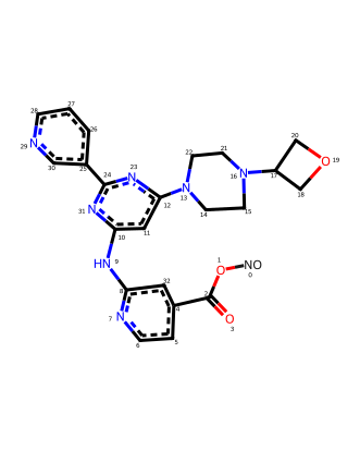 O=NOC(=O)c1ccnc(Nc2cc(N3CCN(C4COC4)CC3)nc(-c3cccnc3)n2)c1